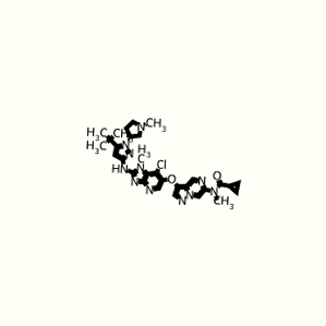 CN1CC[C@H](n2nc(Nc3nc4ncc(Oc5cnn6cc(N(C)C(=O)C7CC7)ncc56)c(Cl)c4n3C)cc2C(C)(C)C)C1